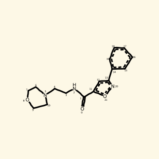 O=C(NCCN1CCOCC1)c1cc(-c2ccccc2)no1